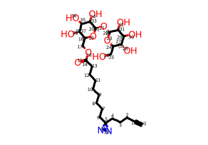 C#CCCCC1(CCCCCCCCC(=O)OCC2O[C@H](O[C@H]3OC(CO)[C@@H](O)C(O)C3O)C(O)C(O)[C@@H]2O)N=N1